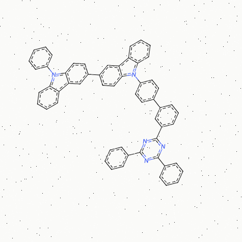 c1ccc(-c2nc(-c3ccccc3)nc(-c3cccc(-c4ccc(-n5c6ccccc6c6cc(-c7ccc8c(c7)c7ccccc7n8-c7ccccc7)ccc65)cc4)c3)n2)cc1